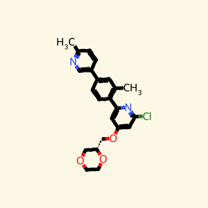 Cc1ccc(-c2ccc(-c3cc(OC[C@H]4COCCO4)cc(Cl)n3)c(C)c2)cn1